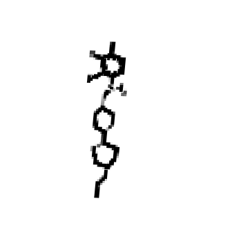 CCC[C@H]1CC[C@H]([C@H]2CC[C@H](C[SiH2]c3ccc(C)c(F)c3F)CC2)CC1